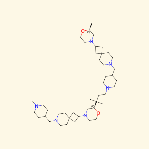 C[C@H]1CN(C2CC3(CCN(CC4CCN(CCC(C)(C)[C@@H]5CN(C6CC7(CCN(CC8CCN(C)CC8)CC7)C6)CCO5)CC4)CC3)C2)CCO1